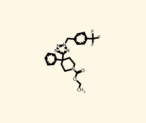 CCOC(=O)N1CCC(c2ccccc2)(c2nnn(Cc3ccc(C(F)(F)F)cc3)n2)CC1